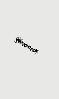 O=[N+]([O-])c1cn2c(n1)O[C@@H](COc1ccc(N3CCC(COc4ccc(C(F)(F)F)cc4)CC3)cc1)C2